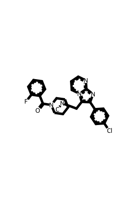 O=C(c1ccccc1F)N1CC2CCC1CN2Cc1c(-c2ccc(Cl)cc2)nc2ncccn12